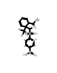 CC(C1(C(F)(F)F)C=CC=CC1C(=O)O)S(=O)(=O)c1ccc([N+](=O)[O-])cn1